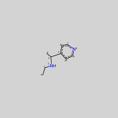 CCNC(C)c1ccncc1